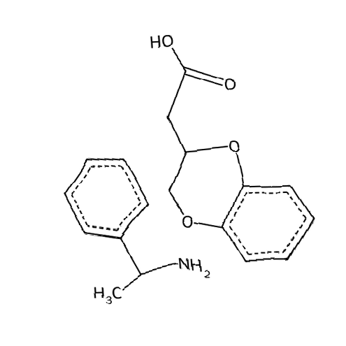 CC(N)c1ccccc1.O=C(O)CC1COc2ccccc2O1